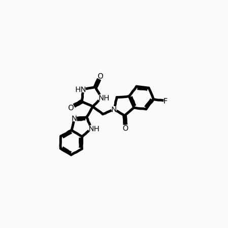 O=C1NC(=O)C(CN2Cc3ccc(F)cc3C2=O)(c2nc3ccccc3[nH]2)N1